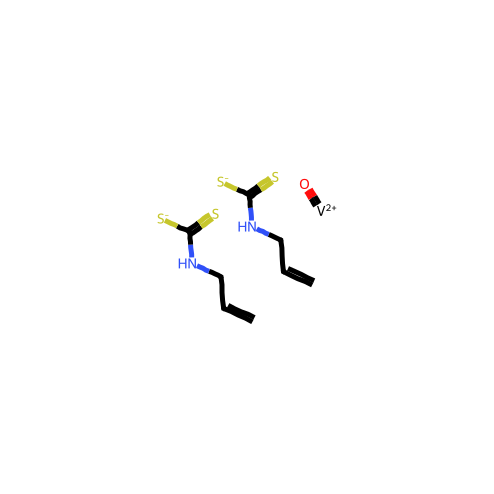 C=CCNC(=S)[S-].C=CCNC(=S)[S-].[O]=[V+2]